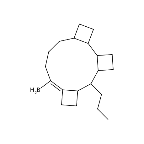 B/C1=C2\CCC2C(CCC)C2CCC2C2CCC2CCC1